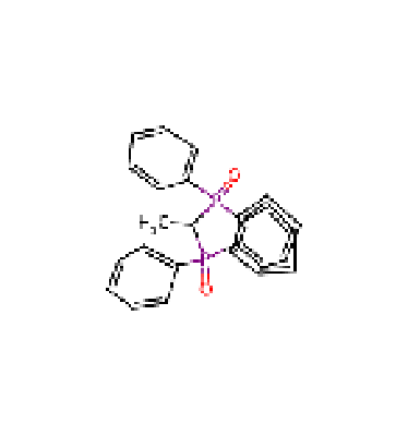 CC(P(=O)(c1ccccc1)c1ccccc1)P(=O)(c1ccccc1)c1ccccc1